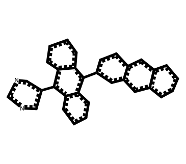 c1ccc2cc3cc(-c4c5ccccc5c(-c5cncnc5)c5ccccc45)ccc3cc2c1